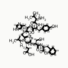 CC(C)C[C@H](NC(=O)[C@H](Cc1c[nH]cn1)NC(=O)[C@H](Cc1ccc(O)cc1)NC(=O)[C@@H](N)C(C)C)C(=O)N[C@@H](CCC(=O)O)C(=O)N[C@@H](CS)C(=O)N[C@@H](Cc1ccccc1)C(=O)O